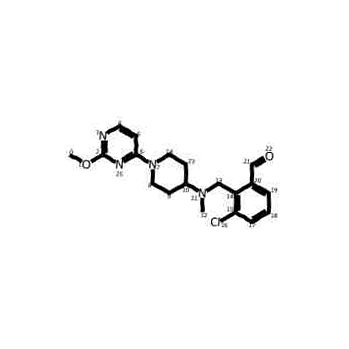 COc1nccc(N2CCC(N(C)Cc3c(Cl)cccc3C=O)CC2)n1